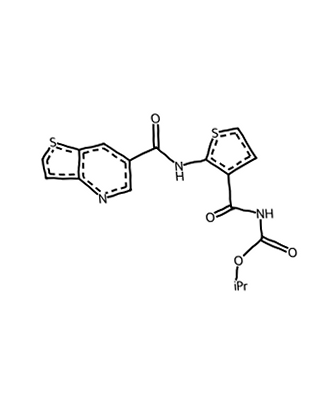 CC(C)OC(=O)NC(=O)c1ccsc1NC(=O)c1cnc2ccsc2c1